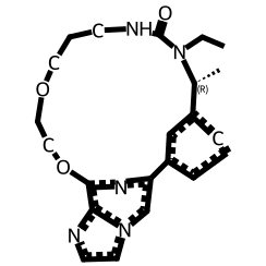 CCN1C(=O)NCCCOCCOc2nc(cn3ccnc23)-c2cccc(c2)[C@H]1C